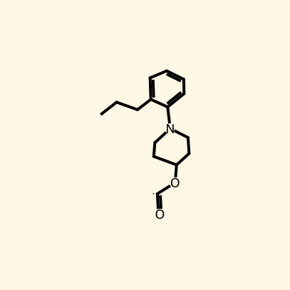 CCCc1ccccc1N1CCC(O[C]=O)CC1